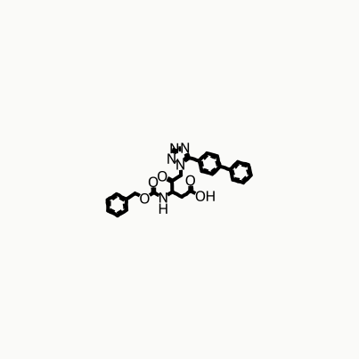 O=C(O)CC(NC(=O)OCc1ccccc1)C(=O)Cn1nnnc1-c1ccc(-c2ccccc2)cc1